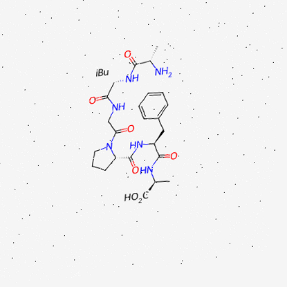 CC[C@H](C)[C@H](NC(=O)[C@H](C)N)C(=O)NCC(=O)N1CCC[C@H]1C(=O)N[C@@H](Cc1ccccc1)C(=O)N[C@@H](C)C(=O)O